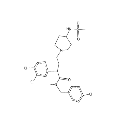 CN(Cc1ccc(Cl)cc1)C(=O)C(CCN1CCC(NS(C)(=O)=O)CC1)c1ccc(Cl)c(Cl)c1